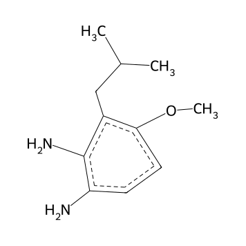 COc1ccc(N)c(N)c1CC(C)C